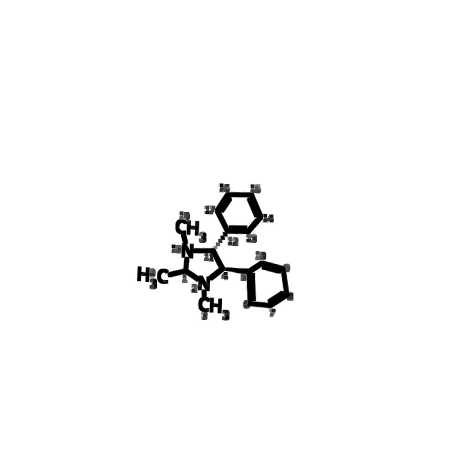 CC1N(C)[C@H](c2ccccc2)[C@@H](c2ccccc2)N1C